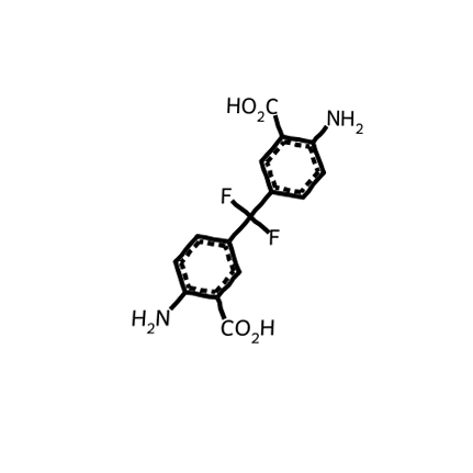 Nc1ccc(C(F)(F)c2ccc(N)c(C(=O)O)c2)cc1C(=O)O